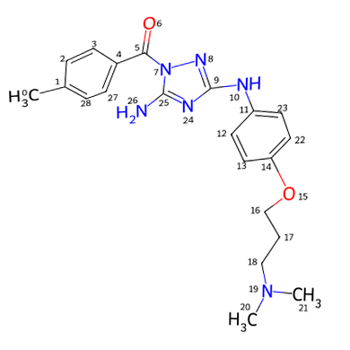 Cc1ccc(C(=O)n2nc(Nc3ccc(OCCCN(C)C)cc3)nc2N)cc1